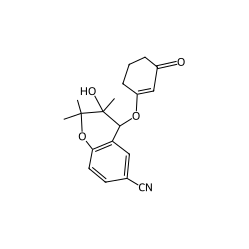 CC1(C)Oc2ccc(C#N)cc2C(OC2=CC(=O)CCC2)C1(C)O